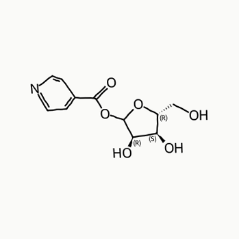 O=C(OC1O[C@H](CO)[C@@H](O)[C@H]1O)c1ccncc1